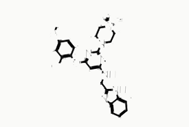 COc1ccc(Oc2cc(NCc3nc4ccccc4[nH]3)nc(N3CCS(=O)(=O)CC3)n2)c(Cl)c1